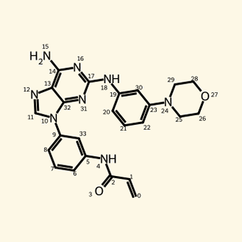 C=CC(=O)Nc1cccc(-n2cnc3c(N)nc(Nc4cccc(N5CCOCC5)c4)nc32)c1